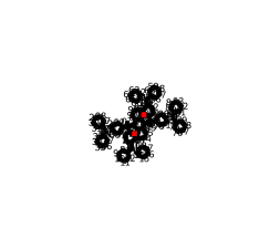 CC(c1ccc(N(c2ccccc2)c2ccccc2)cc1)(c1ccc(N(c2ccccc2)c2ccccc2)cc1)c1c2ccccc2c(C(C)(c2ccc(N(c3ccccc3)c3ccccc3)cc2)c2ccc(N(c3ccccc3)c3ccccc3)cc2)c2ccccc12